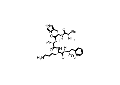 CC[C@H](C)[C@H](N)C(=O)N[C@@H](Cc1c[nH]cn1)C(=O)N[C@H](C(=O)N[C@@H](CCCCN)C(=O)N[C@@H](Cc1ccccc1)C(=O)O)C(C)C